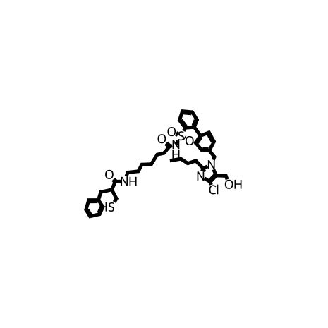 CCCCc1nc(Cl)c(CO)n1Cc1ccc(-c2ccccc2S(=O)(=O)NC(=O)CCCCCCNC(=O)C(CS)Cc2ccccc2)cc1